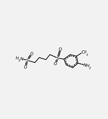 Nc1ccc(S(=O)(=O)CCCCS(N)(=O)=O)cc1C(F)(F)F